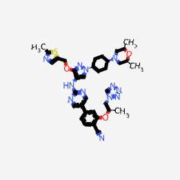 Cc1ncc(COc2nn([C@H]3CC[C@H](N4C[C@@H](C)O[C@@H](C)C4)CC3)cc2Nc2ncc(-c3ccc(C#N)c(O[C@@H](C)Cn4cnnn4)c3)cn2)s1